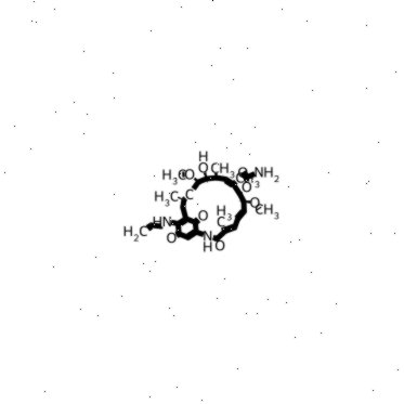 C=CCNC1=C2C[C@H](C)C[C@@H](OC)[C@@H](O)[C@@H](C)/C=C(/C)[C@H](OC(N)=O)[C@@H](OC)/C=C/C=C(\C)C(=O)NC(=CC1=O)C2=O